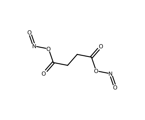 O=NOC(=O)CCC(=O)ON=O